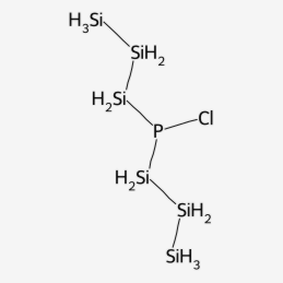 [SiH3][SiH2][SiH2]P(Cl)[SiH2][SiH2][SiH3]